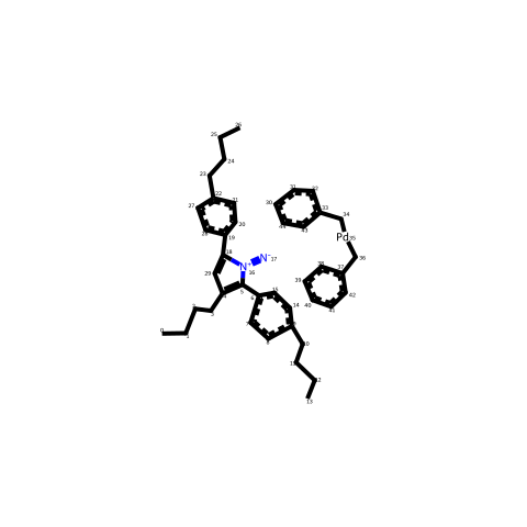 CCCCC1=C(c2ccc(CCCC)cc2)[N+](=[N-])C(c2ccc(CCCC)cc2)=C1.c1ccc([CH2][Pd][CH2]c2ccccc2)cc1